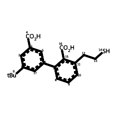 CC(C)(C)c1cc(C(=O)O)cc(-c2cccc(CCS)c2C(=O)O)c1